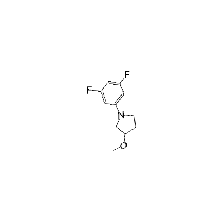 COC1CCN(c2cc(F)cc(F)c2)C1